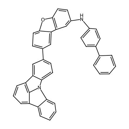 c1ccc(-c2ccc(Nc3ccc4oc5ccc(-c6ccc7c(c6)c6cccc8c9ccccc9n7c86)cc5c4c3)cc2)cc1